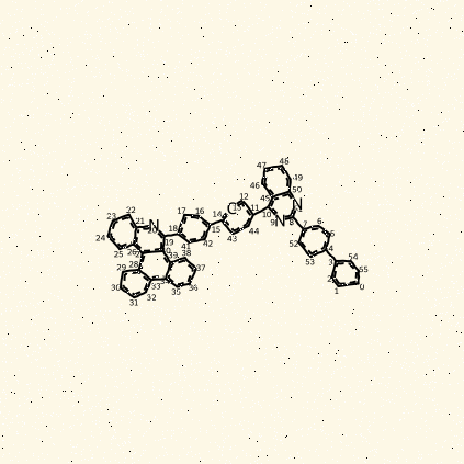 c1ccc(-c2ccc(-c3nc(-c4ccc(-c5ccc(-c6nc7ccccc7c7c8ccccc8c8ccccc8c67)cc5)cc4)c4ccccc4n3)cc2)cc1